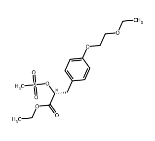 CCOCCOc1ccc(C[C@@H](OS(C)(=O)=O)C(=O)OCC)cc1